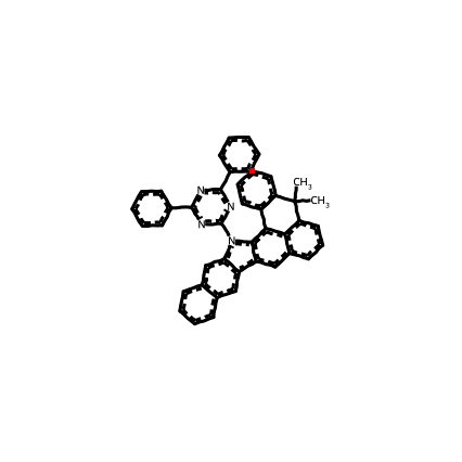 CC1(C)c2ccccc2-c2c3c1cccc3cc1c3cc4ccccc4cc3n(-c3nc(-c4ccccc4)nc(-c4ccccc4)n3)c21